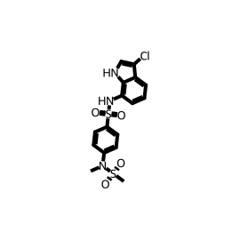 CN(c1ccc(S(=O)(=O)Nc2cccc3c(Cl)c[nH]c23)cc1)S(C)(=O)=O